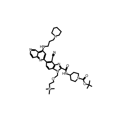 CC(C)(C)OC(=O)N1CCC(NC(=O)c2nc3c(C#N)c(-c4cc(NCCCN5CCCCC5)c5cnccc5n4)ccc3n2COCC[Si](C)(C)C)CC1